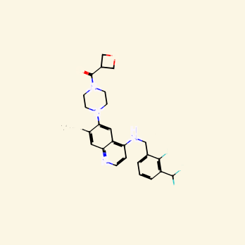 COc1cc2nccc(N[C@H](C)c3cccc(C(F)F)c3F)c2cc1N1CCN(C(=O)C2COC2)CC1